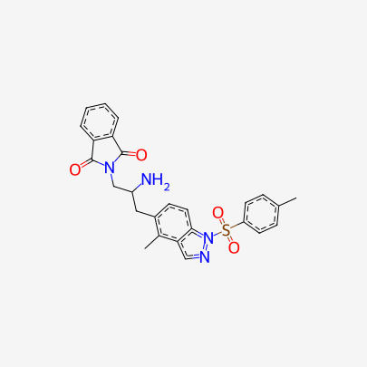 Cc1ccc(S(=O)(=O)n2ncc3c(C)c(CC(N)CN4C(=O)c5ccccc5C4=O)ccc32)cc1